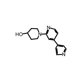 OC1CCN(c2cc(-c3ccncc3)ccn2)CC1